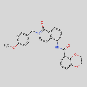 O=C(Nc1cccc2c(=O)n(Cc3ccc(OC(F)(F)F)cc3)ccc12)c1cccc2c1OCCO2